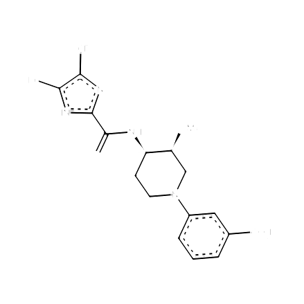 CCc1[nH]c(C(=O)N[C@@H]2CCN(c3cccc(C(=O)O)c3)C[C@@H]2OC)nc1C(F)(F)F